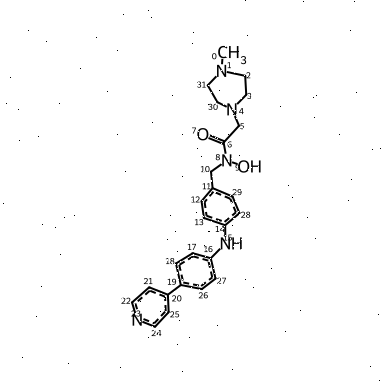 CN1CCN(CC(=O)N(O)Cc2ccc(Nc3ccc(-c4ccncc4)cc3)cc2)CC1